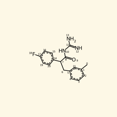 Cc1cccc(CC(C(=O)NC(=N)N)c2ccc(F)cc2)c1